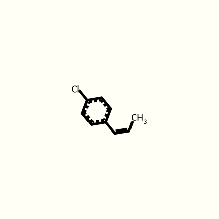 C/C=C\c1ccc(Cl)cc1